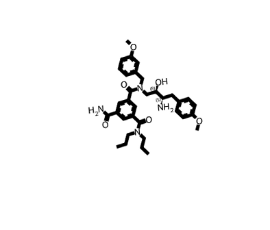 CCCN(CCC)C(=O)c1cc(C(N)=O)cc(C(=O)N(Cc2cccc(OC)c2)C[C@@H](O)[C@@H](N)Cc2ccc(OC)cc2)c1